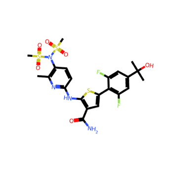 Cc1nc(Nc2sc(-c3c(F)cc(C(C)(C)O)cc3F)cc2C(N)=O)ccc1N(S(C)(=O)=O)S(C)(=O)=O